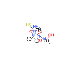 CN(CC(=O)O)C(=O)CN1C(=O)C(N(C)C(=O)C(N)CS)N=C(c2ccccc2)c2ccccc21